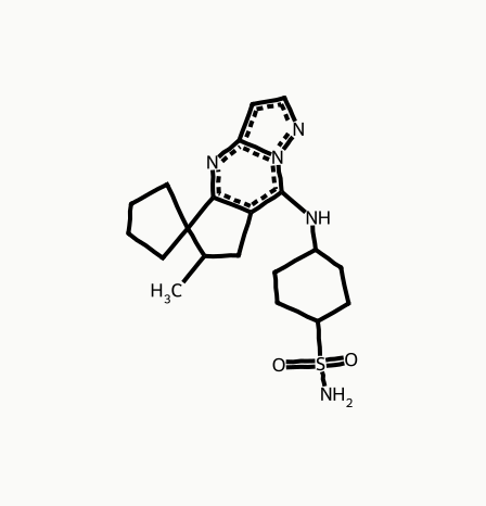 CC1Cc2c(nc3ccnn3c2NC2CCC(S(N)(=O)=O)CC2)C12CCCC2